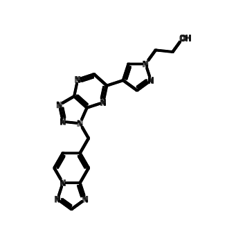 OCCn1cc(-c2cnc3nnn(Cc4ccn5ncnc5c4)c3n2)cn1